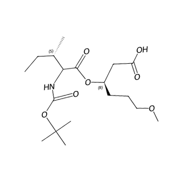 CC[C@H](C)C(NC(=O)OC(C)(C)C)C(=O)O[C@H](CCCOC)CC(=O)O